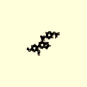 COc1ncc(-c2cc([C@H]3C[C@@H]3c3ccc(OC(F)F)nc3)c3nccn3n2)c(OC)n1